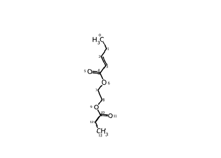 CCC=CC(=O)OCCOC(=O)CC